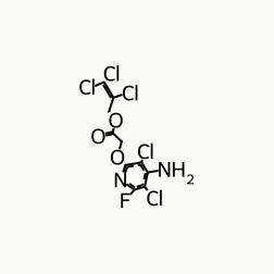 Nc1c(Cl)c(F)nc(OCC(=O)OCC(Cl)=C(Cl)Cl)c1Cl